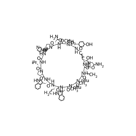 C=CC[C@@H]1NC(=O)[C@H](Cc2c[nH]c3ccccc23)NC(=O)C2CCCN2C(=O)[C@H](CC(C)C)NC(=O)[C@H](Cc2cnc[nH]2)NC(=O)[C@@H]2CCCN2C(=O)[C@H](CC(N)=O)NC(=O)[C@H](C)N(C)C(=O)[C@H](Cc2ccc(O)cc2)NC(=O)CSC[C@@H](C(O)NCC(N)=O)NC(=O)[C@H](CC=C)NC(=O)[C@H](CCCC)N(C)C(=O)[C@H](CCCC)N(C)C(=O)[C@H](Cc2c[nH]c3ccccc23)NC1=O